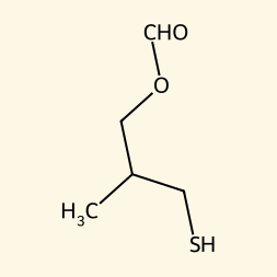 CC(CS)COC=O